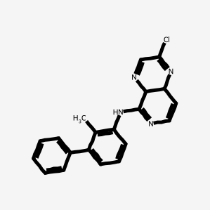 Cc1c(NC2=NC=CC3N=C(Cl)C=NC23)cccc1-c1ccccc1